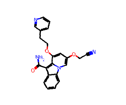 N#CCOc1cc(OCCc2cccnc2)c2c(C(N)=O)c3ccccc3n2c1